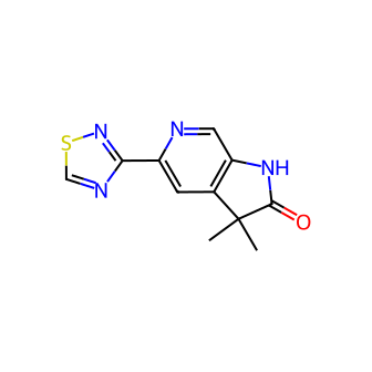 CC1(C)C(=O)Nc2cnc(-c3ncsn3)cc21